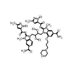 CCOC(Cn1/c(=N/C(=O)c2cc(C)nn2CC)n(C)c2cc(C(N)=O)ccc21)C(Cn1/c(=N/C(=O)c2cc(C)nn2CC)n(C)c2cc(C(N)=O)cc(OCCCN3CCOCC3)c21)OCC